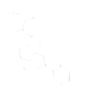 CC(C)(C)[C@H](N)C(=O)N[C@H]1CC[C@@H]2CN(c3cccc(C(F)(F)F)n3)C[C@@H]21